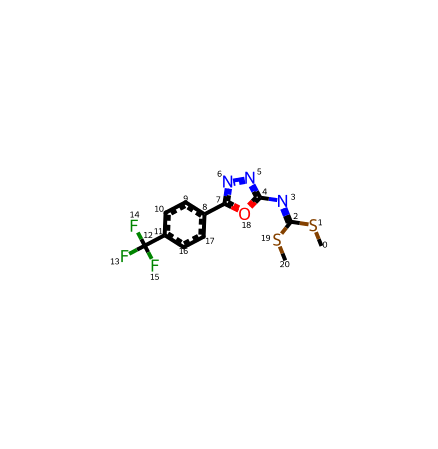 CSC(=Nc1nnc(-c2ccc(C(F)(F)F)cc2)o1)SC